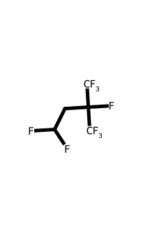 FC(F)CC(F)(C(F)(F)F)C(F)(F)F